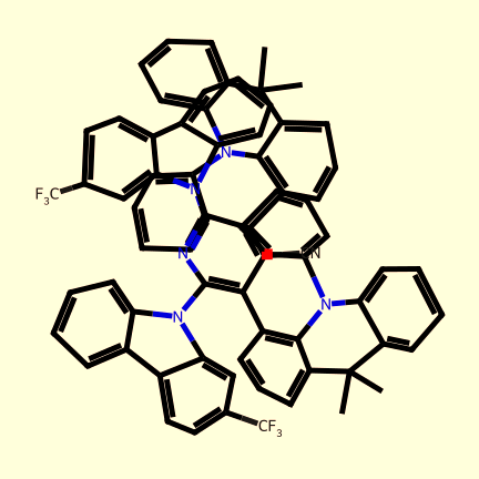 CC1(C)c2ccccc2N(c2ccccc2)c2c(-c3c(-n4c5ccccc5c5ccc(C(F)(F)F)cc54)nc(-n4c5ccccc5c5ccc(C(F)(F)F)cc54)c(-c4cccc5c4N(c4ccccc4)c4ccccc4C5(C)C)c3C#N)cccc21